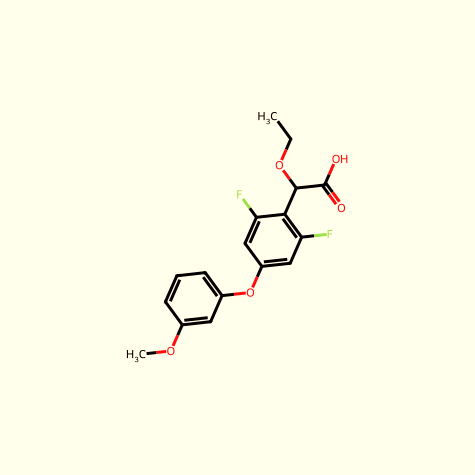 CCOC(C(=O)O)c1c(F)cc(Oc2cccc(OC)c2)cc1F